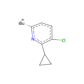 CC[C@@H](C)c1ccc(Cl)c(C2CC2)n1